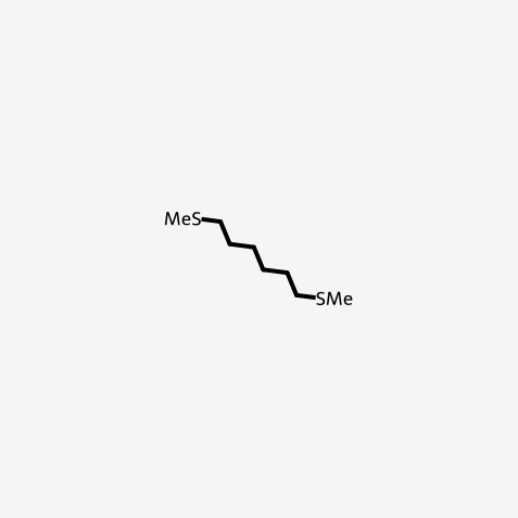 CSCCCCCCSC